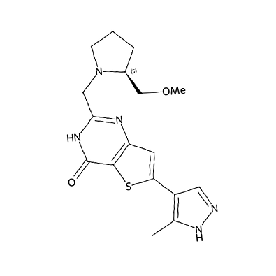 COC[C@@H]1CCCN1Cc1nc2cc(-c3cn[nH]c3C)sc2c(=O)[nH]1